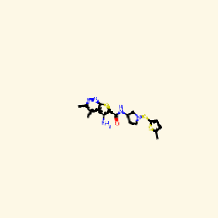 Cc1ccc(SN2CCC(NC(=O)c3sc4nnc(C)c(C)c4c3N)C2)s1